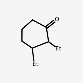 CCC1CCCC(=O)C1CC